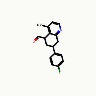 Cc1ccnc2c1C(C=O)CC(c1ccc(F)cc1)C2